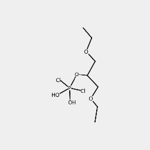 CCOCC(COCC)OP(O)(O)(Cl)Cl